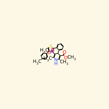 COC(=O)C1=C(C)NC(C)=C(C(=O)OC)C1c1ccccc1-c1nc(-c2ccc(C)cc2)cs1